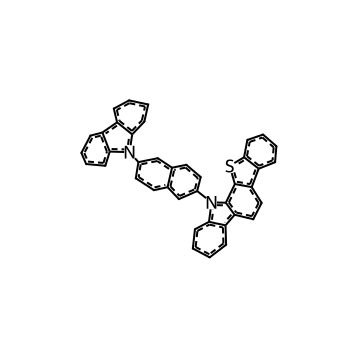 c1ccc2c(c1)sc1c2ccc2c3ccccc3n(-c3ccc4cc(-n5c6ccccc6c6ccccc65)ccc4c3)c21